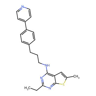 CCc1nc(NCCCc2ccc(-c3ccncc3)cc2)c2cc(C)sc2n1